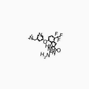 CN(C)Cc1cncc(Oc2ccc(C(F)(F)F)c3cc(C(=O)N(C)C(=N)N)[nH]c23)c1